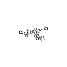 CCC(C)CN1C(=O)[C@H](CCCNC(=O)OCc2ccccc2)NC(=O)C12CCN(CCc1ccccc1)CC2